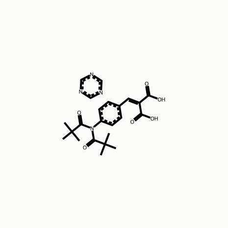 CC(C)(C)C(=O)N(C(=O)C(C)(C)C)c1ccc(C=C(C(=O)O)C(=O)O)cc1.c1ncncn1